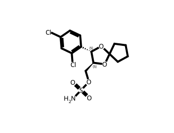 NS(=O)(=O)OC[C@@H]1OC2(CCCC2)O[C@H]1c1ccc(Cl)cc1Cl